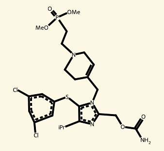 COP(=O)(CCN1CC=C(Cn2c(COC(N)=O)nc(C(C)C)c2Sc2cc(Cl)cc(Cl)c2)CC1)OC